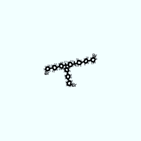 CC(C)(c1ccc(-c2ccc(-c3cccc(Br)c3)cc2)cc1)c1ccc(C(C)(c2ccc(-c3ccc(-c4cccc(Br)c4)cc3)cc2)c2ccc(-c3ccc(-c4cccc(Br)c4)cc3)cc2)cc1